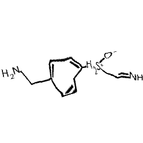 N=C[SH2+]([O-])c1ccc(CN)cc1